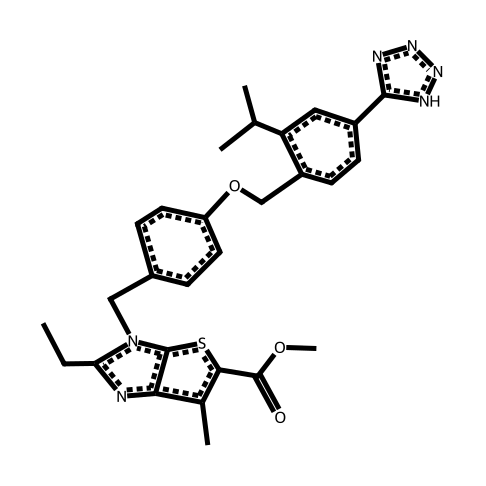 CCc1nc2c(C)c(C(=O)OC)sc2n1Cc1ccc(OCc2ccc(-c3nnn[nH]3)cc2C(C)C)cc1